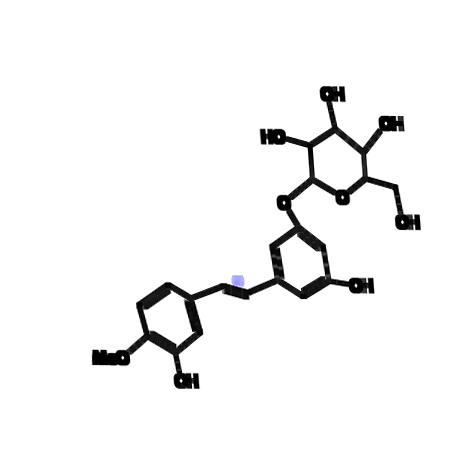 COc1ccc(/C=C/c2cc(O)cc(OC3OC(CO)C(O)C(O)C3O)c2)cc1O